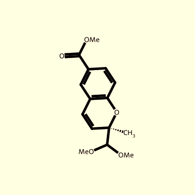 COC(=O)c1ccc2c(c1)C=C[C@](C)(C(OC)OC)O2